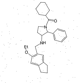 CCOc1cc2c(cc1CNC1CCN(C(=O)C3CCCCC3)C1c1ccccc1)CCC2